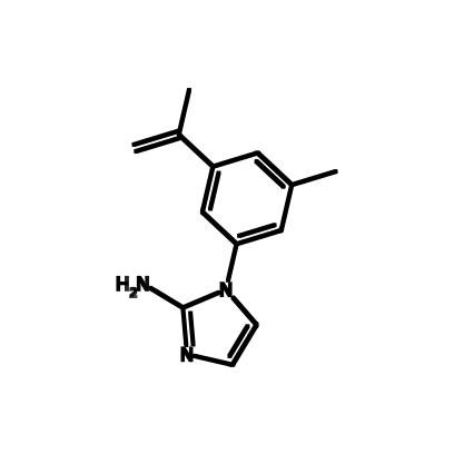 C=C(C)c1cc(C)cc(-n2ccnc2N)c1